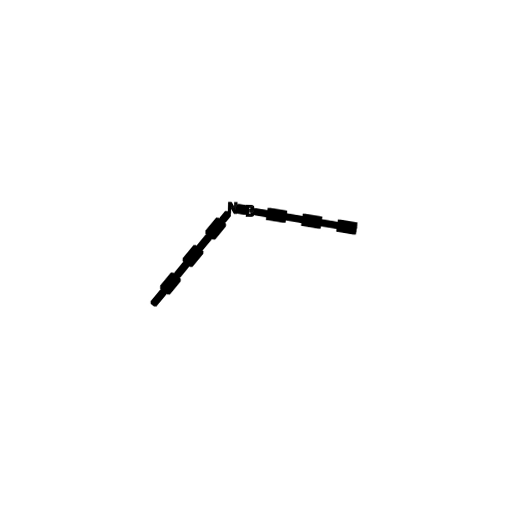 C#CC#CC#C/B=N/C#CC#CC#CC